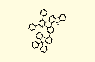 c1ccc(-c2cc(-c3ccccc3)nc(-c3cc(-c4cccc5c4-c4ccccc4C5(c4ccccc4)c4ccccc4)ccc3-c3ccnc4c3oc3ccccc34)n2)cc1